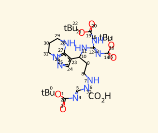 CC(C)(C)OC(=O)N=CN(NCCC(NC(=NC(=O)OC(C)(C)C)NC(=O)OC(C)(C)C)c1cnn2c1NCCC2)C(=O)O